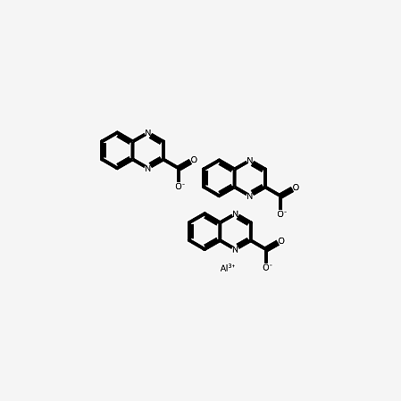 O=C([O-])c1cnc2ccccc2n1.O=C([O-])c1cnc2ccccc2n1.O=C([O-])c1cnc2ccccc2n1.[Al+3]